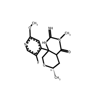 COc1cc(C23CO[C@@H](C)CC2C(=O)N(C)C(=N)N3)c(F)cn1